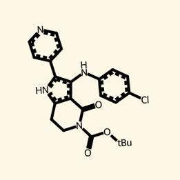 CC(C)(C)OC(=O)N1CCc2[nH]c(-c3ccncc3)c(Nc3ccc(Cl)cc3)c2C1=O